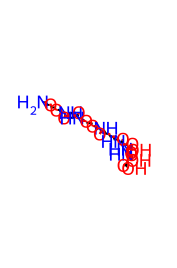 NCCOCCOCCNC(=O)c1ccc(C(=O)NCCOCCOCCNC(=O)CCCCCCCNC(=O)CC[C@H](NC(=O)N[C@@H](CCC(=O)O)C(=O)O)C(=O)O)cc1